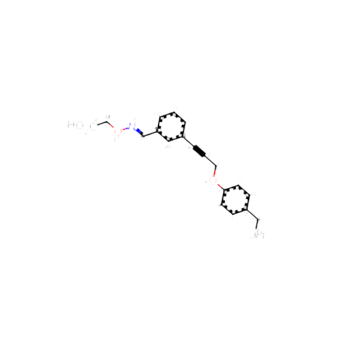 CC(C)Cc1ccc(OCC#Cc2cccc(C=NOCC(=O)O)c2)cc1